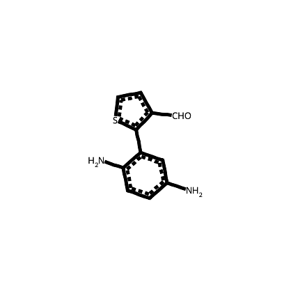 Nc1ccc(N)c(-c2sccc2C=O)c1